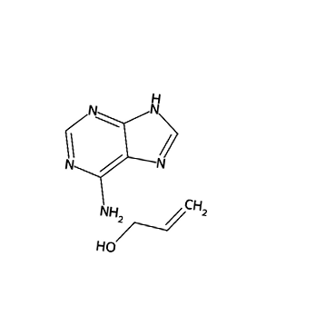 C=CCO.Nc1ncnc2[nH]cnc12